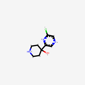 OC1(c2cncc(Cl)n2)CCNCC1